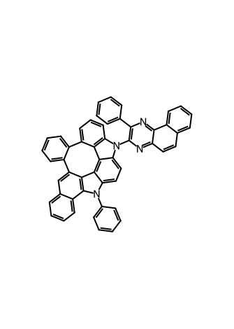 c1ccc(-c2nc3c(ccc4ccccc43)nc2-n2c3cccc4c5ccccc5c5cc6ccccc6c6c5c5c(c43)c2ccc5n6-c2ccccc2)cc1